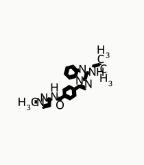 CC(C)CNc1nc2ccccc2n2c(-c3ccc(C(=O)Nc4ccn(C)n4)cc3)cnc12